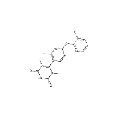 Cc1cc(Oc2ncccc2F)ccc1-c1c(C)c(=O)[nH]c(=O)n1C